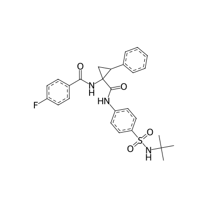 CC(C)(C)NS(=O)(=O)c1ccc(NC(=O)C2(NC(=O)c3ccc(F)cc3)CC2c2ccccc2)cc1